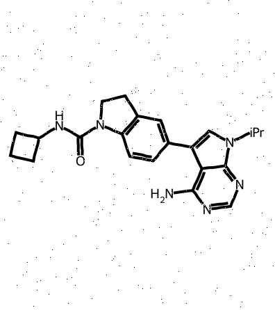 CC(C)n1cc(-c2ccc3c(c2)CCN3C(=O)NC2CCC2)c2c(N)ncnc21